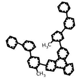 Cc1ccc(-c2cccc(-c3ccccc3)c2)cc1-c1ccc2c3ccccc3c3ccc(-c4cc(-c5cccc(-c6ccccc6)c5)ccc4C)cc3c2c1